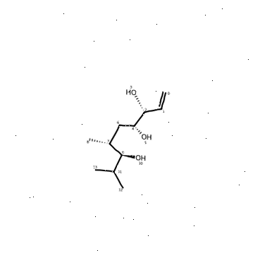 C=C[C@@H](O)[C@H](O)C[C@@H](C)[C@@H](O)C(C)C